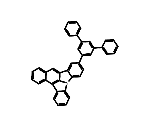 c1ccc(-c2cc(-c3ccccc3)cc(-c3ccc4c(c3)c3cc5ccccc5c5c6ccccc6n4c35)c2)cc1